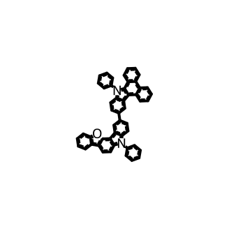 c1ccc(-n2c3ccc(-c4ccc5c(c4)c4c6ccccc6c6ccccc6c4n5-c4ccccc4)cc3c3c4oc5ccccc5c4ccc32)cc1